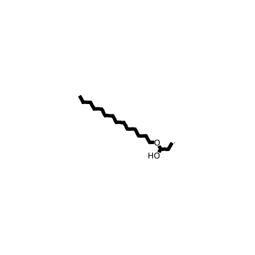 [CH2]CC(O)OCCCCCCCCCCCCCC